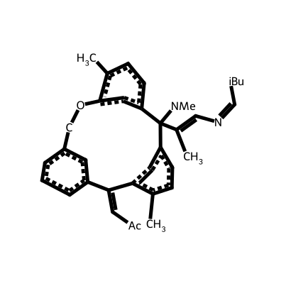 CCC(C)/C=N\C=C(/C)C1(NC)c2ccc(C)c(c2)OCc2cccc(c2)/C(=C/C(C)=O)c2cc1ccc2C